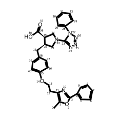 Cc1oc(-c2ccccc2)nc1CCOc1ccc(C[C@@H]2CN(c3nnnn3-c3ccccc3)C[C@@H]2C(=O)O)cc1